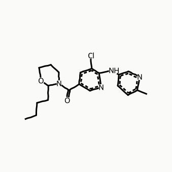 CCCCC1OCCCN1C(=O)c1cnc(Nc2ccc(C)nc2)c(Cl)c1